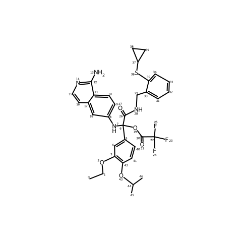 CCOc1cc(C(Nc2ccc3c(N)nccc3c2)(OC(=O)C(F)(F)F)C(=O)NCc2ccccc2SC2CC2)ccc1OC(C)C